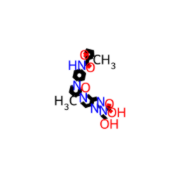 Cc1ccoc1C(=O)Nc1ccc(-n2ccc(C)c(N3CCc4nc(N(CCO)C(=O)O)ncc4C3)c2=O)cc1